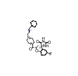 O=C1NC(=O)[C@@]2(C[C@@H](C(=O)N3CCN(C/C=C/c4ccccc4)CC3)Oc3ccc(F)cc32)N1